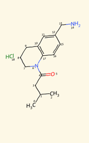 CC(C)CC(=O)N1CCCc2cc(CN)ccc21.Cl